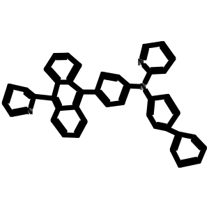 c1ccc(-c2ccc(N(c3ccc(-c4c5ccccc5c(-c5ccccn5)c5ccccc45)cc3)c3ccccn3)cc2)cc1